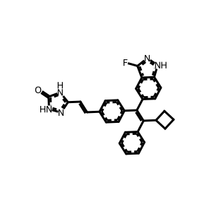 O=c1[nH]nc(/C=C/c2ccc(/C(=C(\c3ccccc3)C3CCC3)c3ccc4[nH]nc(F)c4c3)cc2)[nH]1